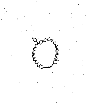 O=C1CCCCCCCC/C=C\CCCCCCCCCO1